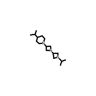 CC(C)C1CCN(C2CN(C3CN(C(C)C)C3)C2)CC1